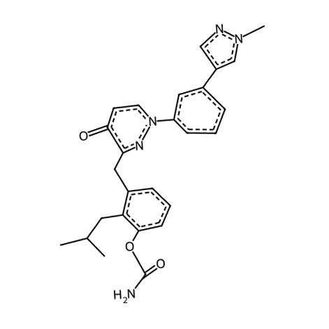 CC(C)Cc1c(Cc2nn(-c3cccc(-c4cnn(C)c4)c3)ccc2=O)cccc1OC(N)=O